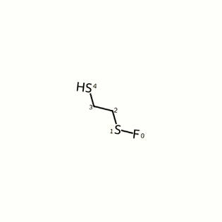 FSCCS